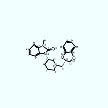 Cn1c(=O)n([C@H]2CCCN(C[C@H]3COc4ccccc4O3)C2)c2ccccc21